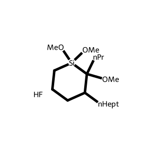 CCCCCCCC1CCC[Si](OC)(OC)C1(CCC)OC.F